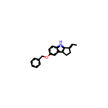 CC=C1CCc2c1[nH]c1ccc(OCc3ccccc3)cc21